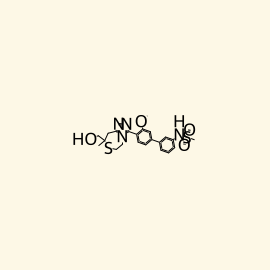 COc1cc(-c2cccc(NS(C)(=O)=O)c2)ccc1-c1nnc2n1CCSC(C)(CO)C2